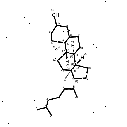 CC(C)CCCC(C)[C@H]1CC[C@H]2[C@@H]3CCC4CC(O)CC[C@]4(C)[C@H]3CC[C@]12C